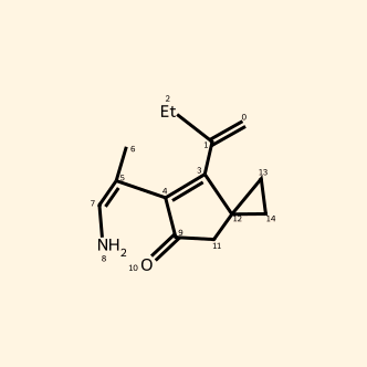 C=C(CC)C1=C(/C(C)=C\N)C(=O)CC12CC2